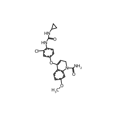 COc1ccc2c(c1)N(C(N)=O)CC=C2Oc1ccc(NC(=O)NC2CC2)c(Cl)c1